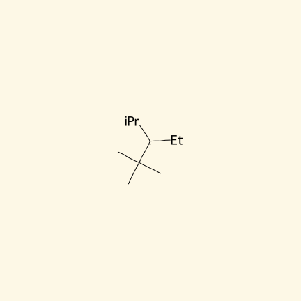 CC[C](C(C)C)C(C)(C)C